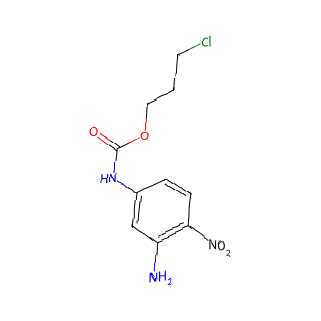 Nc1cc(NC(=O)OCCCCl)ccc1[N+](=O)[O-]